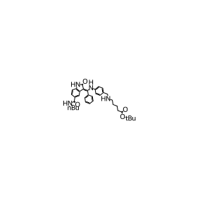 CCCCNC(=O)c1ccc2c(c1)/C(=C(/Nc1ccc(CNCCCCC(=O)OC(C)(C)C)cc1)c1ccccc1)C(=O)N2